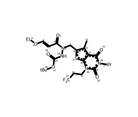 CCO/C=C/C(=O)N(Cc1sc2c(c1C)c(=O)n(C(C)C)c(=O)n2CCC(F)(F)F)NC(=O)OC(C)(C)C